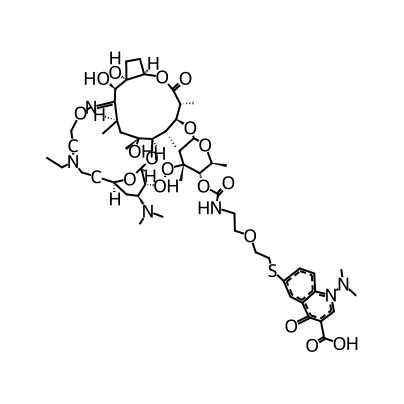 CCN1CCO/N=C2\[C@H](C)C[C@@](C)(O)[C@H](O[C@@H]3O[C@H](CC1)C[C@H](N(C)C)[C@H]3O)[C@@H](C)[C@H](O[C@H]1C[C@@](C)(OC)[C@@H](OC(=O)NCCOCCSc3ccc4c(c3)c(=O)c(C(=O)O)cn4N(C)C)[C@H](C)O1)[C@@H](C)C(=O)O[C@@H]1CC[C@]1(O)[C@@H]2O